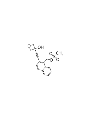 CS(=O)(=O)OCc1c(C#CC2(O)COC2)ccc2ccccc12